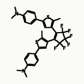 Cc1sc(-c2ccc(N(C)C)cc2)cc1C1=C(c2cc(-c3ccc(N(C)C)cc3)sc2C)C(F)(F)C(F)(F)C1(F)F